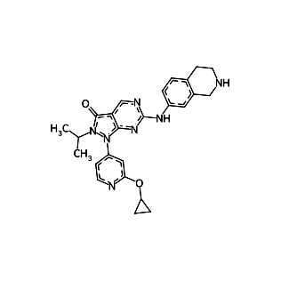 CC(C)n1c(=O)c2cnc(Nc3ccc4c(c3)CNCC4)nc2n1-c1ccnc(OC2CC2)c1